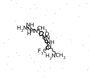 C[C@H](N)CCCc1cc(C(F)(F)F)cc(-c2cc3cn(-c4ccc([C@H](C)NCCCNC(=N)N)cc4)c(=O)nc3[nH]2)n1